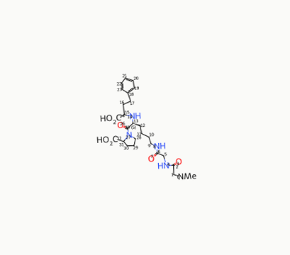 CNCC(=O)NCC(=O)NCCCC[C@H](NC(CCc1ccccc1)C(=O)O)C(=O)N1CCCC1C(=O)O